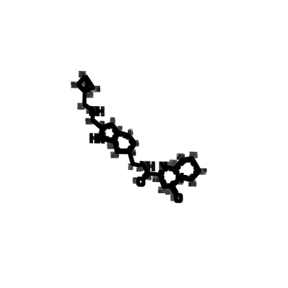 O=C(NCc1ccc2cc(CNCC34CC(C3)C4)[nH]c2c1)c1cc(=O)n2ccccc2n1